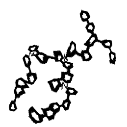 c1ccc(-c2ccc(-c3cc(-c4cccc(-c5ccccc5)c4)cc(-c4cccc(-c5cccc(-n6c7ccc(-c8ccc9c(c8)c8ccccc8n9-c8cccc(-c9cccc(-c%10ccc%11cc(-c%12ccccc%12)ccc%11c%10)c9)c8)cc7c7cc(-c8ccc9c(c8)c8ccccc8n9-c8cccc(-c9cccc(-c%10ccc%11cc(-c%12ccccc%12)ccc%11c%10)c9)c8)ccc76)c5)c4)c3)cc2)cc1